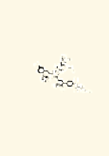 COC(=O)Nc1ccc(-c2cc(C(CNS(=O)(=O)c3cn(C)nc3C)NC(=O)C=Cc3cc(Cl)ccc3-n3cnnn3)n[nH]c2=O)cc1